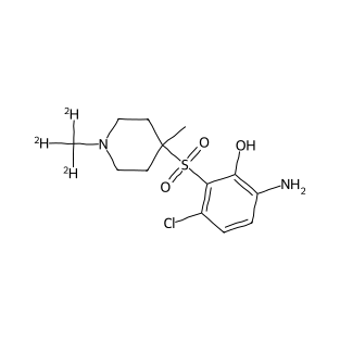 [2H]C([2H])([2H])N1CCC(C)(S(=O)(=O)c2c(Cl)ccc(N)c2O)CC1